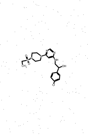 CCS(=O)(=O)N1CCN(c2cc(NCC(O)c3ccc(Cl)cc3)ncn2)CC1